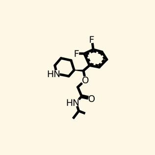 CC(C)NC(=O)COC(c1cccc(F)c1F)[C@@H]1CCCNC1